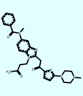 CN1CCN(c2ccc(C(=O)Cc3nc4cc(N(C)C(=O)c5ccccc5)ccc4n3CCC(N)=O)s2)CC1